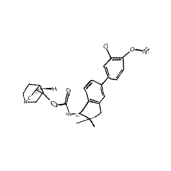 CCCOc1ccc(-c2ccc3c(c2)CC(C)(C)[C@H]3NC(=O)O[C@@H]2CN3CCC2CC3)cc1Cl